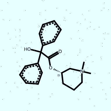 C[N+]1(C)CCC[C@H](OC(=O)C(O)(c2ccccc2)c2ccccc2)C1